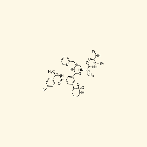 CCNC(=O)[C@@H](NC(=O)[C@H](C)NC[C@H](Cc1ccccn1)NC(=O)c1cc(C(=O)N[C@H](C)c2ccc(Br)cc2)cc(N2CCCNS2(=O)=O)c1)C(C)C